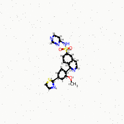 COc1cc(-c2nccs2)ccc1-c1nccc2cc(S(=O)(=O)Nc3ccncn3)ccc12